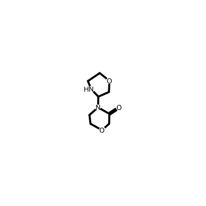 O=C1COCCN1C1COCCN1